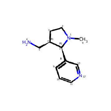 CN1CC[C@H](CN)[C@@H]1c1cccnc1